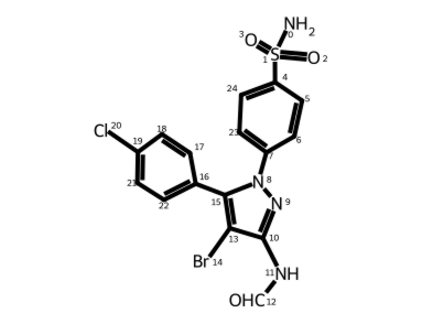 NS(=O)(=O)c1ccc(-n2nc(NC=O)c(Br)c2-c2ccc(Cl)cc2)cc1